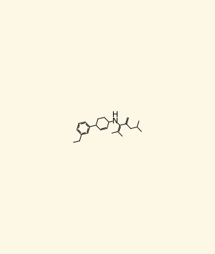 C=C(CC(C)C)C(NC1C=CC(c2cccc(CC)c2)CC1)=C(C)C